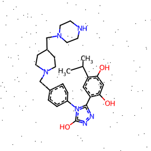 CC(C)c1cc(-c2nnc(O)n2-c2ccc(CN3CCC(CN4CCNCC4)CC3)cc2)c(O)cc1O